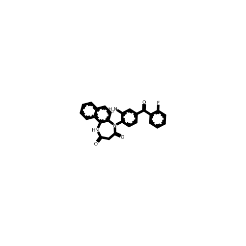 Nc1cc(C(=O)c2ccccc2F)ccc1N1C(=O)CC(=O)Nc2c1ccc1ccccc21